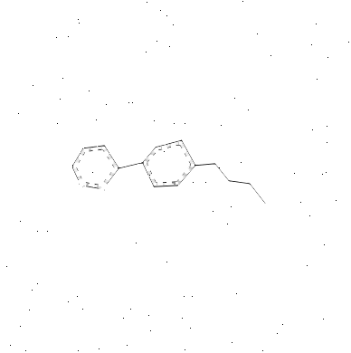 OCCCc1ccc(-c2cccnn2)cc1